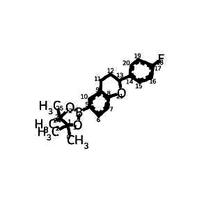 CC1(C)OB(c2ccc3c(c2)CCC(c2ccc(F)cc2)O3)OC1(C)C